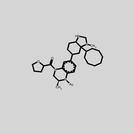 CC(=O)N1c2ccc(C3CCC4NCN(C)C4(C4CCCCCCC4)C3)cc2N(C(=O)C2CCCO2)C[C@@H]1C